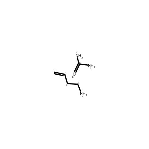 C=CCCN.NC(N)=O